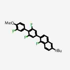 CCCCc1ccc2c(F)c(-c3cc(F)c(-c4ccc(OC)c(F)c4)c(F)c3)ccc2c1